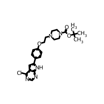 CC(C)(C)OC(=O)N1CCN(CCOc2ccc(-c3cc4c(Cl)ncnc4[nH]3)cc2)CC1